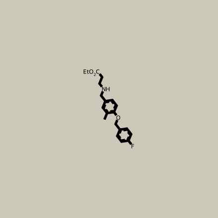 CCOC(=O)CCNCc1ccc(OCc2ccc(F)cc2)c(C)c1